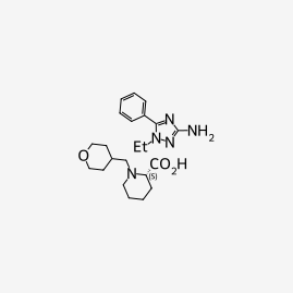 CCn1nc(N)nc1-c1ccccc1.O=C(O)[C@@H]1CCCCN1CC1CCOCC1